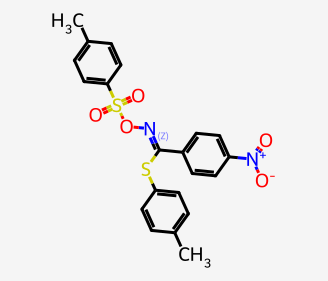 Cc1ccc(S/C(=N\OS(=O)(=O)c2ccc(C)cc2)c2ccc([N+](=O)[O-])cc2)cc1